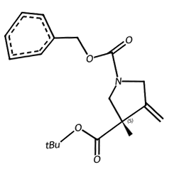 C=C1CN(C(=O)OCc2ccccc2)C[C@@]1(C)C(=O)OC(C)(C)C